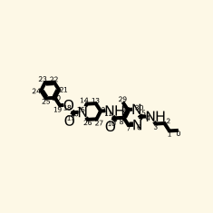 CCCCNc1ncc(C(=O)NC2CCN(C(=O)OCc3ccccc3)CC2)c(C)n1